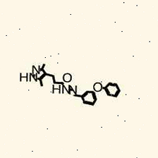 Cc1n[nH]c(C)c1CCC(=O)N/N=C/c1cccc(Oc2ccccc2)c1